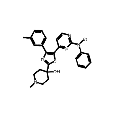 CCN(c1ccccc1)c1nccc(-c2sc(C3(O)CCN(C)CC3)nc2-c2cccc(C)c2)n1